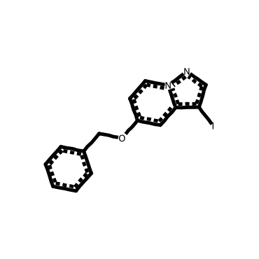 Ic1cnn2ccc(OCc3ccccc3)cc12